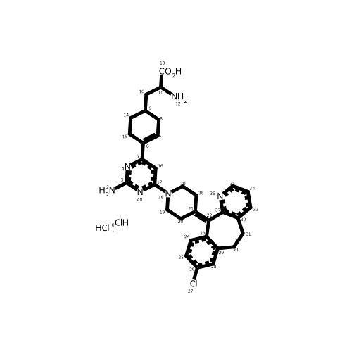 Cl.Cl.Nc1nc(C2=CCC(CC(N)C(=O)O)CC2)cc(N2CCC(=C3c4ccc(Cl)cc4CCc4cccnc43)CC2)n1